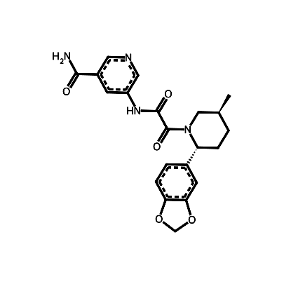 C[C@H]1CC[C@H](c2ccc3c(c2)OCO3)N(C(=O)C(=O)Nc2cncc(C(N)=O)c2)C1